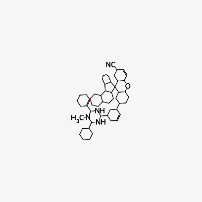 CN1C(C2=CCCCC2)NC(C2CC=CC(C3CCC4OC5C=CC(C#N)CC5C5(C4C3)C3CCCCC3C3C4CCCCC4CCC35)C2)NC1C1CCCCC1